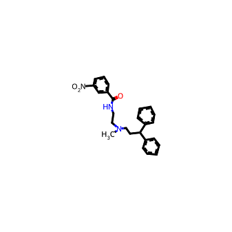 CN(CCNC(=O)c1cccc([N+](=O)[O-])c1)CCC(c1ccccc1)c1ccccc1